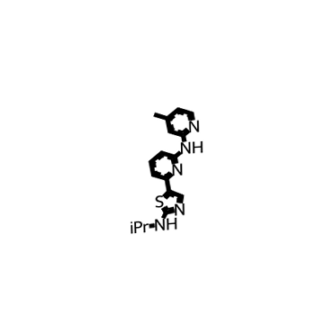 Cc1ccnc(Nc2cccc(-c3cnc(NC(C)C)s3)n2)c1